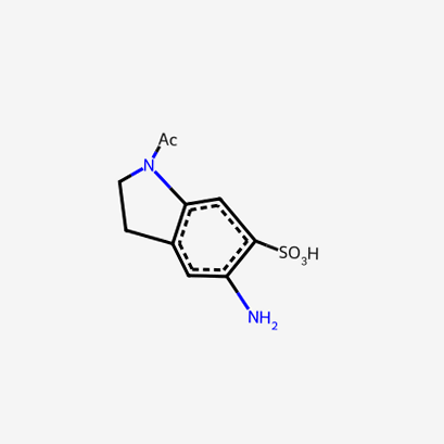 CC(=O)N1CCc2cc(N)c(S(=O)(=O)O)cc21